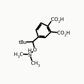 C[SiH](C)OC(c1ccc(C(=O)O)c(C(=O)O)c1)C(C)(C)C